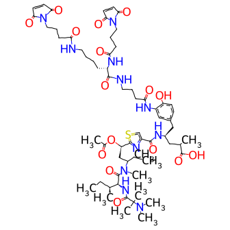 CC[C@H](C)[C@H](NC(=O)C(C)(C)N(C)C)C(=O)N(C)C(C[C@@H](OC(C)=O)c1nc(C(=O)N[C@@H](Cc2ccc(O)c(NC(=O)CCCNC(=O)[C@H](CCCCNC(=O)CCCN3C(=O)C=CC3=O)NC(=O)CCCN3C(=O)C=CC3=O)c2)CC(C)C(=O)O)cs1)C(C)C